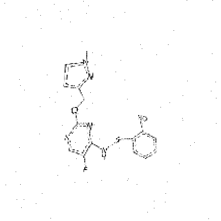 Cn1ccc(COc2ncc(F)c(NSc3ccccc3N=O)n2)n1